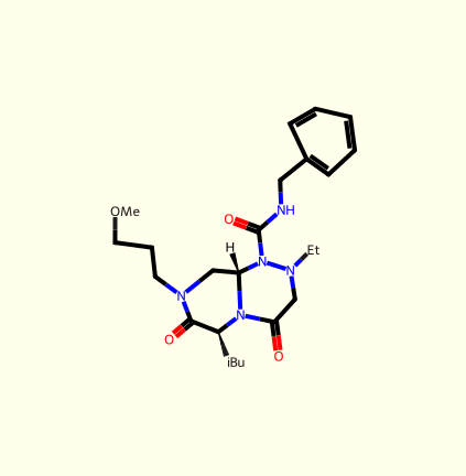 CCC(C)[C@H]1C(=O)N(CCCOC)C[C@H]2N1C(=O)CN(CC)N2C(=O)NCc1ccccc1